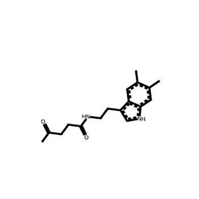 CC(=O)CCC(=O)NCCc1c[nH]c2cc(C)c(C)cc12